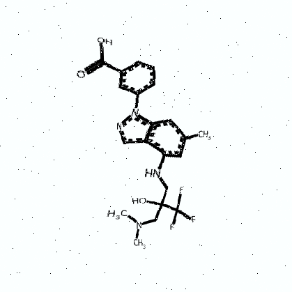 Cc1cc(NCC(O)(CN(C)C)C(F)(F)F)c2cnn(-c3cccc(C(=O)O)c3)c2c1